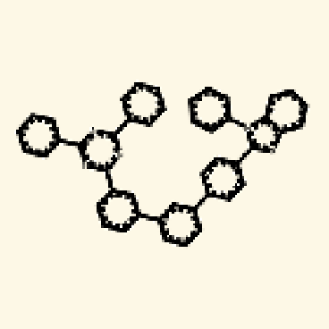 c1ccc(-c2nc(-c3ccccc3)nc(-c3cccc(-c4cccc(-c5ccc(-c6nc7ccccc7n6-c6ccccc6)cc5)c4)c3)n2)cc1